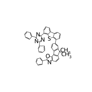 CC1(C)c2cc(-c3cccc4c3sc3c(-c5nc(-c6ccccc6)nc(-c6ccccc6)n5)cccc34)ccc2-c2c1ccc1nc(-c3ccccc3)oc21